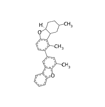 Cc1c(-c2cc(C)c3oc4ccccc4c3c2)ccc2c1C1CC(C)CC[C@@H]1O2